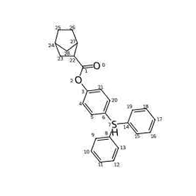 O=C(Oc1ccc([SH](c2ccccc2)c2ccccc2)cc1)C1CC2CCC1C2